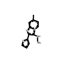 Cc1ccn2c(NC(C)(C)C)c(-c3ccco3)nc2c1